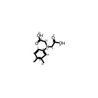 Cc1ccc(N(CC(=O)O)CC(=O)O)cc1C